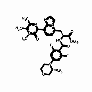 COC(=O)[C@H](Cc1ccc(-c2nc(C)c(C)n(C)c2=O)c2nccn12)NC(=O)c1c(F)cc(N2CCOC[C@@H]2C(F)(F)F)cc1F